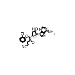 N#CCC[PH](=O)C(Oc1ccccc1Cl)[C@@H]1C[C@@H](O)[C@H](n2cnc3c(N)ncnc32)O1